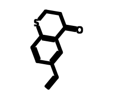 C=Cc1ccc2c(c1)C(=O)CCS2